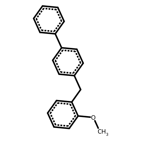 COc1ccccc1Cc1ccc(-c2ccccc2)cc1